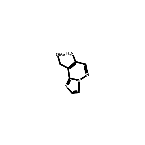 COCc1c(N)cnn2ccnc12